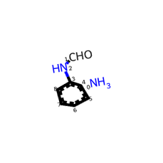 N.O=CNc1ccccc1